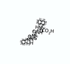 O=C(O)CC(NC(=O)CNC(=O)c1csc(NC(=O)NCc2ccccc2)n1)c1cccc2ccccc12